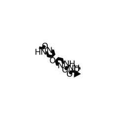 COC1(C(=O)NC(=O)Nc2ccc(Oc3ccnc(NC(C)=O)c3)cn2)CC1